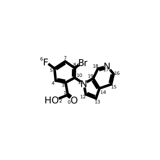 O=C(O)c1cc(F)cc(Br)c1-n1ccc2ccncc21